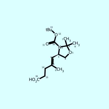 CC(=C[C@@H]1COC(C)(C)N1C(=O)OC(C)(C)C)CCC(=O)O